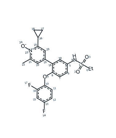 CCS(=O)(=O)Nc1ccc(Oc2ccc(F)cc2F)c(-c2cc(C)[n+]([O-])c(C3CC3)c2)c1